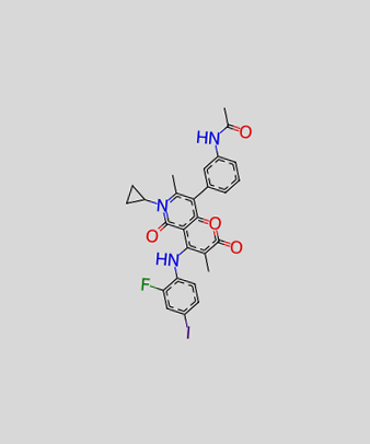 CC(=O)Nc1cccc(-c2c(C)n(C3CC3)c(=O)c3c(Nc4ccc(I)cc4F)c(C)c(=O)oc23)c1